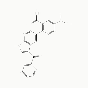 CN(C)c1ccc(-c2cnc3[nH]cc(C(=O)c4ccccn4)c3c2)c(C(N)=O)c1